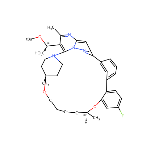 Cc1nc2cc3nn2c(c1[C@H](OC(C)(C)C)C(=O)O)N1CCC(C)(CC1)OCCCC[C@H](C)Oc1cc(F)ccc1-c1cccc-3c1